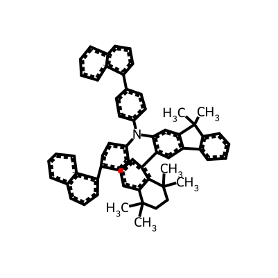 CC1(C)CCC(C)(C)c2c(-c3cc4c(cc3N(c3ccc(-c5cccc6ccccc56)cc3)c3ccc(-c5cccc6ccccc56)cc3)C(C)(C)c3ccccc3-4)cccc21